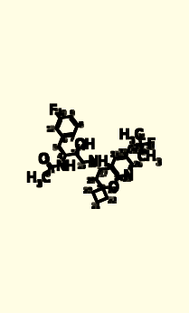 CC(=O)N[C@@H](Cc1cccc(F)c1)[C@@H](O)CN[C@H]1CC2(CCC2)Oc2ncc(CC(C)(C)F)cc21